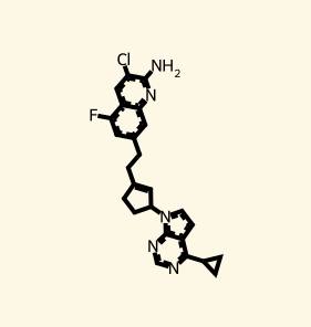 Nc1nc2cc(CCC3=CC(n4ccc5c(C6CC6)ncnc54)CC3)cc(F)c2cc1Cl